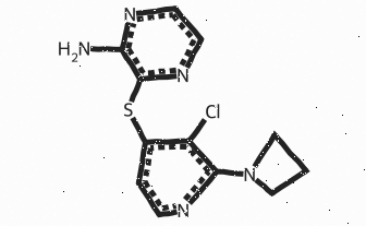 Nc1nccnc1Sc1ccnc(N2CCC2)c1Cl